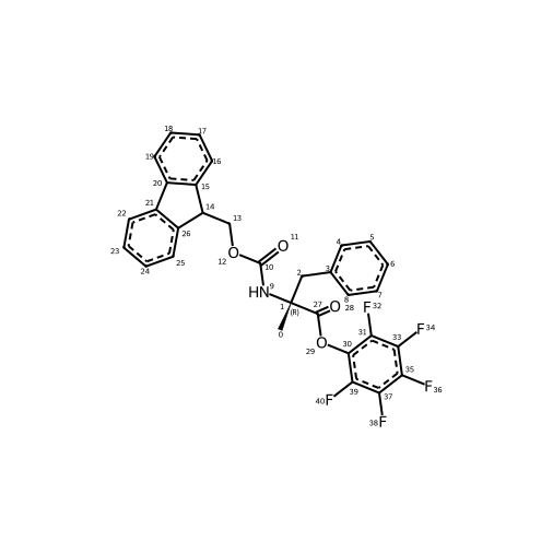 C[C@](Cc1ccccc1)(NC(=O)OCC1c2ccccc2-c2ccccc21)C(=O)Oc1c(F)c(F)c(F)c(F)c1F